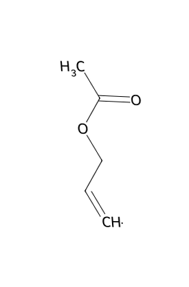 [CH]=CCOC(C)=O